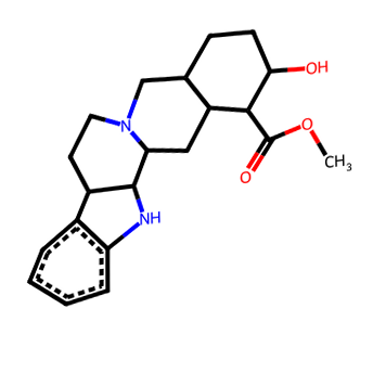 COC(=O)C1C(O)CCC2CN3CCC4c5ccccc5NC4C3CC21